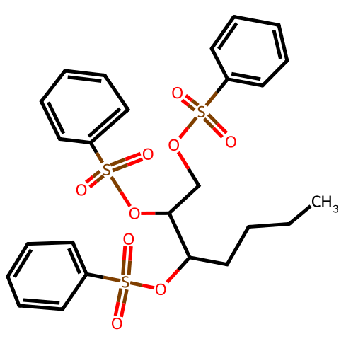 CCCCC(OS(=O)(=O)c1ccccc1)C(COS(=O)(=O)c1ccccc1)OS(=O)(=O)c1ccccc1